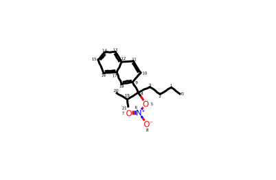 CCCCC(O[N+](=O)[O-])(c1ccc2ccccc2c1)C(C)C